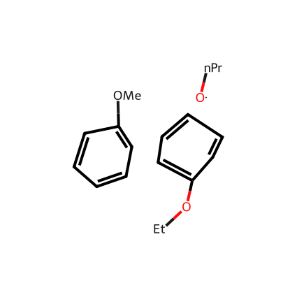 CCC[O].CCOc1ccccc1.COc1ccccc1